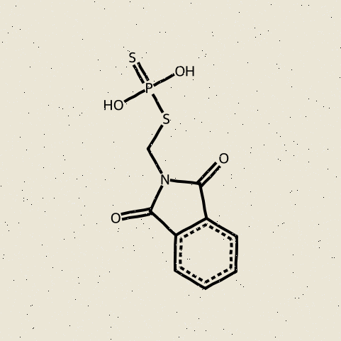 O=C1c2ccccc2C(=O)N1CSP(O)(O)=S